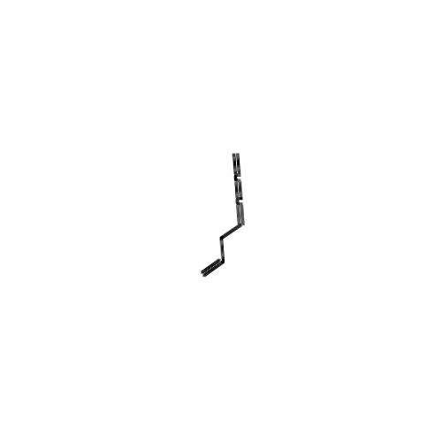 C=C=C=CCC=C